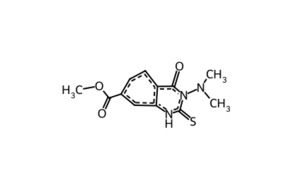 COC(=O)c1ccc2c(=O)n(N(C)C)c(=S)[nH]c2c1